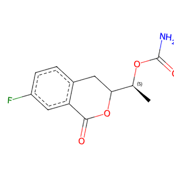 C[C@H](OC(N)=O)C1Cc2ccc(F)cc2C(=O)O1